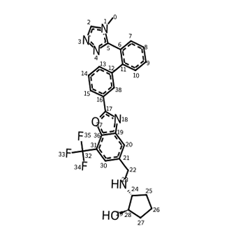 Cn1cnnc1-c1ccccc1-c1cccc(-c2nc3cc(CN[C@@H]4CCC[C@H]4O)cc(C(F)(F)F)c3o2)c1